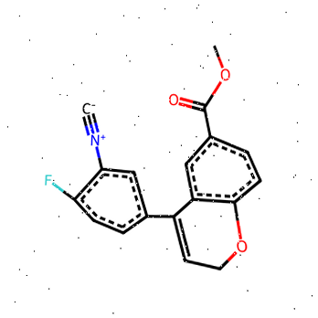 [C-]#[N+]c1cc(C2=CCOc3ccc(C(=O)OC)cc32)ccc1F